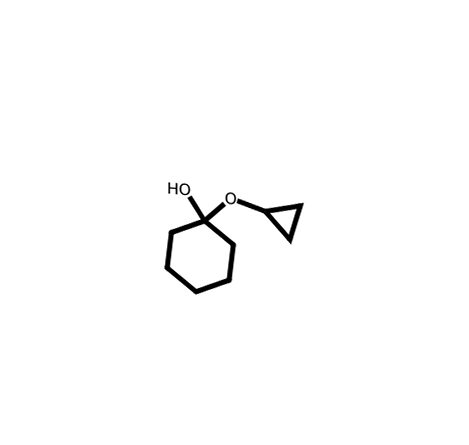 OC1(OC2CC2)CCCCC1